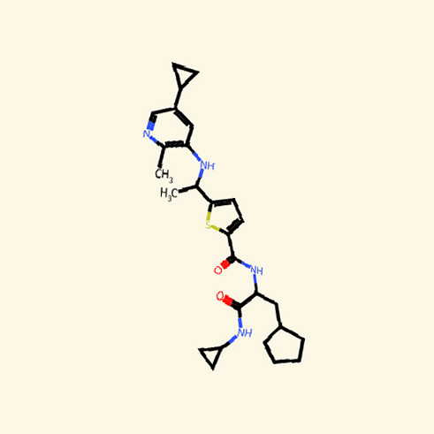 Cc1ncc(C2CC2)cc1NC(C)c1ccc(C(=O)NC(CC2CCCC2)C(=O)NC2CC2)s1